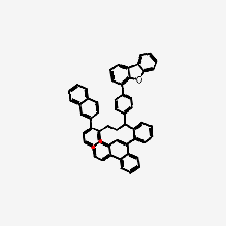 c1ccc(-c2ccc3ccccc3c2)c(CCC(c2ccc(-c3cccc4c3oc3ccccc34)cc2)c2ccccc2-c2cc3ccccc3c3ccccc23)c1